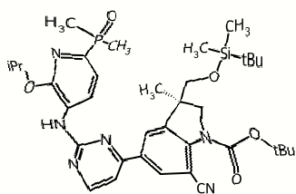 CC(C)Oc1nc(P(C)(C)=O)ccc1Nc1nccc(-c2cc(C#N)c3c(c2)[C@@](C)(CO[Si](C)(C)C(C)(C)C)CN3C(=O)OC(C)(C)C)n1